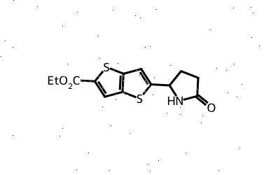 CCOC(=O)c1cc2sc(C3CCC(=O)N3)cc2s1